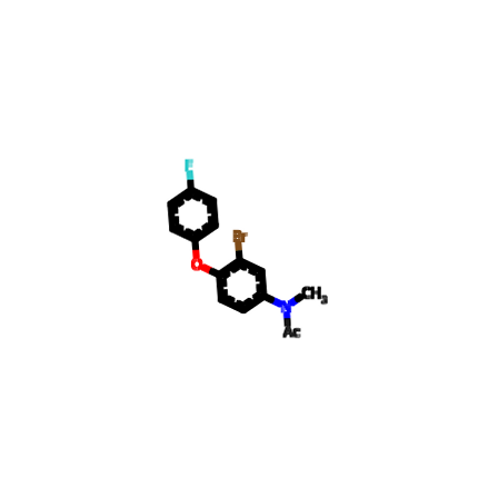 CC(=O)N(C)c1ccc(Oc2ccc(F)cc2)c(Br)c1